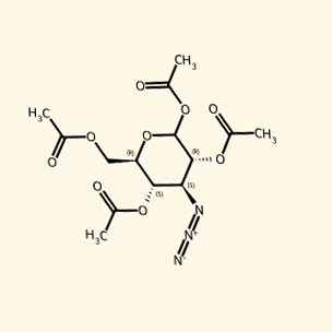 CC(=O)OC[C@H]1OC(OC(C)=O)[C@H](OC(C)=O)[C@@H](N=[N+]=[N-])[C@@H]1OC(C)=O